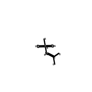 CC(C)=NS(C)(=O)=O